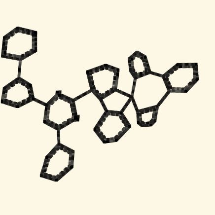 c1ccc(-c2cccc(-c3cc(-c4ccccc4)nc(-c4cccc5c4-c4ccccc4C54c5ccccc5-c5ccccc5-c5ccccc54)n3)c2)cc1